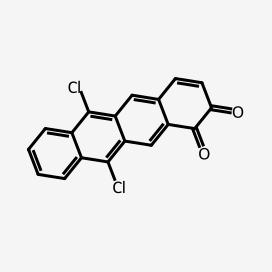 O=C1C=Cc2cc3c(Cl)c4ccccc4c(Cl)c3cc2C1=O